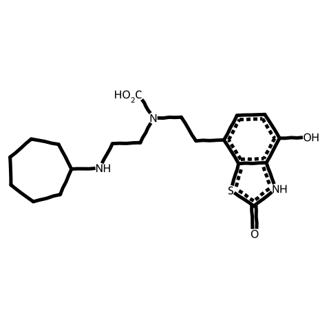 O=C(O)N(CCNC1CCCCCC1)CCc1ccc(O)c2[nH]c(=O)sc12